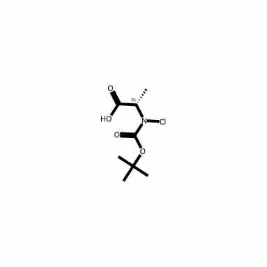 C[C@@H](C(=O)O)N(Cl)C(=O)OC(C)(C)C